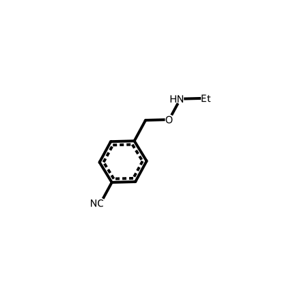 CCNOCc1ccc(C#N)cc1